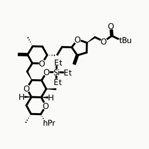 C=C1C[C@H](COC(=O)C(C)(C)C)OC1CC[C@H]1C[C@@H](C)C(=C)C(C[C@@H]2O[C@H]3C[C@@H](C)[C@@H](CCC)O[C@H]3[C@H](C)C2O[Si](CC)(CC)CC)O1